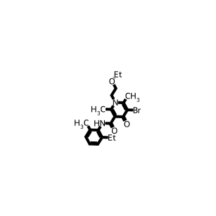 CCOCCn1c(C)c(Br)c(=O)c(C(=O)Nc2c(C)cccc2CC)c1C